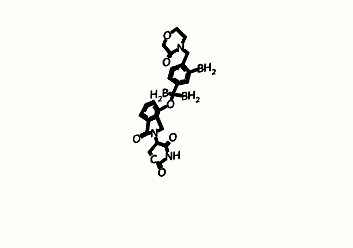 Bc1cc(C(B)(B)Oc2cccc3c2CN(C2CCC(=O)NC2=O)C3=O)ccc1CN1CCOCC1=O